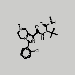 CNC(=O)[C@@H](NC(=O)c1nc(-c2ccccc2Cl)n2c1CN(C)CC2)C(C)(C)C